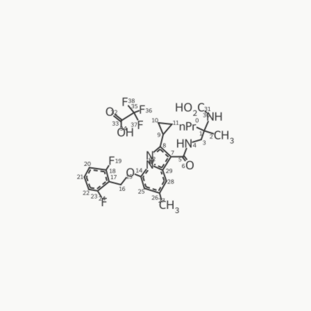 CCCC(C)(CNC(=O)c1c(C2CC2)nn2c(OCc3c(F)cccc3F)cc(C)cc12)NC(=O)O.O=C(O)C(F)(F)F